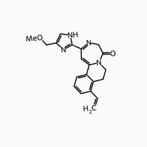 C=Cc1cccc2c1CCN1C(=O)CN=C(c3nc(COC)c[nH]3)C=C21